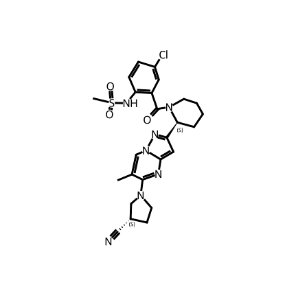 Cc1cn2nc([C@@H]3CCCCN3C(=O)c3cc(Cl)ccc3NS(C)(=O)=O)cc2nc1N1CC[C@H](C#N)C1